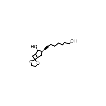 OCCCCCCC#C[C@H]1CC2C(CC23OCCO3)[C@@H]1O